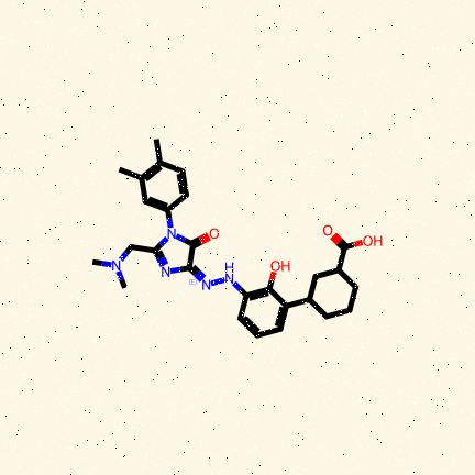 Cc1ccc(N2C(=O)/C(=N\Nc3cccc(C4CCCC(C(=O)O)C4)c3O)N=C2CN(C)C)cc1C